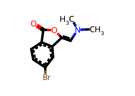 CN(C)/C=C1\OC(=O)c2ccc(Br)cc21